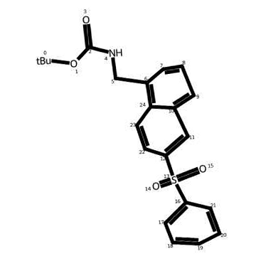 CC(C)(C)OC(=O)NCc1cccc2cc(S(=O)(=O)c3ccccc3)ccc12